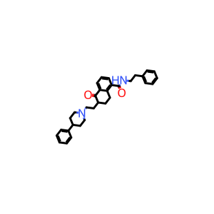 O=C(NCCc1ccccc1)c1cccc2c1CCC(CCN1CCC(c3ccccc3)CC1)C2=O